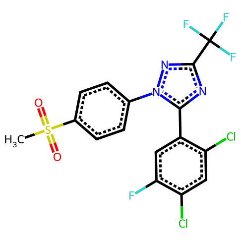 CS(=O)(=O)c1ccc(-n2nc(C(F)(F)F)nc2-c2cc(F)c(Cl)cc2Cl)cc1